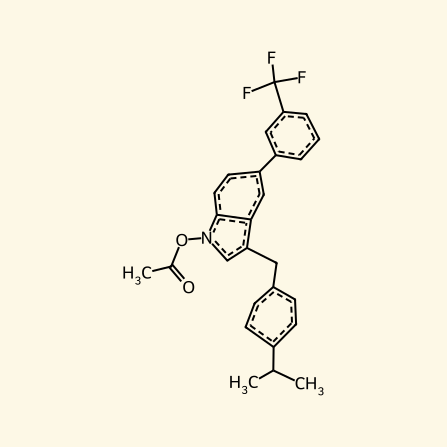 CC(=O)On1cc(Cc2ccc(C(C)C)cc2)c2cc(-c3cccc(C(F)(F)F)c3)ccc21